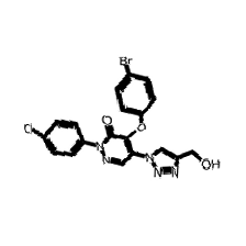 O=c1c(Oc2ccc(Br)cc2)c(-n2cc(CO)nn2)cnn1-c1ccc(Cl)cc1